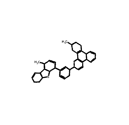 CC1CCC2=C(C1)C1=C(C=CC(C3C=C(C4C=CC(C)C5C6C=CCCC6SC45)C=CC3)C1)C1C=CC=CC21